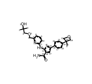 CC(C)(O)COCc1cccc(Nc2sc(-c3ccc(C4(F)COC4)cc3)cc2C(N)=O)n1